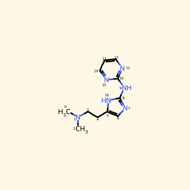 CN(C)CCc1cnc(Nc2ncccn2)[nH]1